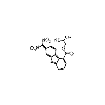 N#CC(C#N)COC(=O)c1cccc2c1=c1ccc(=C([N+](=O)[O-])[N+](=O)[O-])cc1C=2